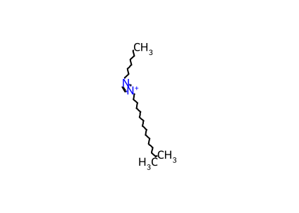 CCCCCCCCn1cc[n+](CCCCCCCCCCCCCCC(C)C)c1